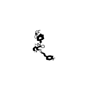 O=C(NCc1cccc(OC(F)(F)F)c1)c1cccnc1SCCCc1ccc(F)cc1